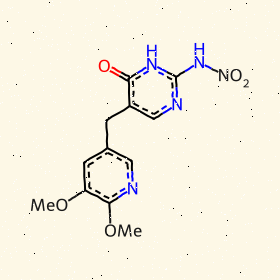 COc1cc(Cc2cnc(N[N+](=O)[O-])[nH]c2=O)cnc1OC